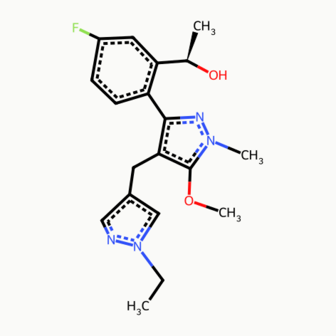 CCn1cc(Cc2c(-c3ccc(F)cc3[C@@H](C)O)nn(C)c2OC)cn1